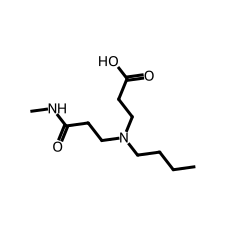 CCCCN(CCC(=O)O)CCC(=O)NC